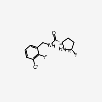 O=C(NCc1cccc(Cl)c1F)[C@@H]1CC[C@@H](I)N1